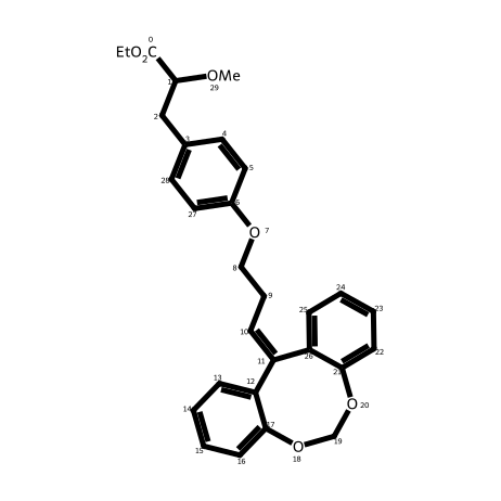 CCOC(=O)C(Cc1ccc(OCCC=C2c3ccccc3OCOc3ccccc32)cc1)OC